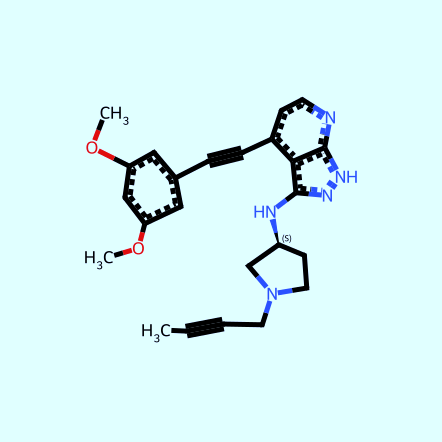 CC#CCN1CC[C@H](Nc2n[nH]c3nccc(C#Cc4cc(OC)cc(OC)c4)c23)C1